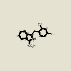 O=C(O)c1[nH]c(Cc2ccc(Cl)cc2Cl)c2ccccc12